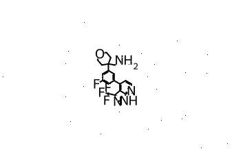 NCC1(c2cc(F)cc(-c3ccnc4[nH]nc(C(F)(F)F)c34)c2)CCOCC1